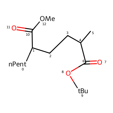 CCCCCC(CCC(C)C(=O)OC(C)(C)C)C(=O)OC